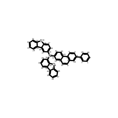 c1ccc(-c2ccc3c(ccc4cc(N(c5ccc6sc7ccccc7c6c5)c5cccc6c5oc5ccccc56)ccc43)c2)cc1